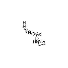 CC(=O)N(c1ccc(N2CCN(CC3CNC3)CC2)cc1)C1CCC(Nc2ncc3ccccc3n2)CC1